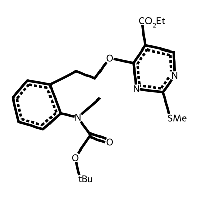 CCOC(=O)c1cnc(SC)nc1OCCc1ccccc1N(C)C(=O)OC(C)(C)C